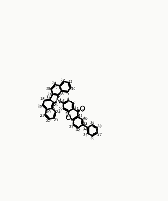 O=c1c2ccc(-n3c4c5ccccc5ccc4c4ccc5ccccc5c43)cc2oc2ccc(-c3ccccc3)cc12